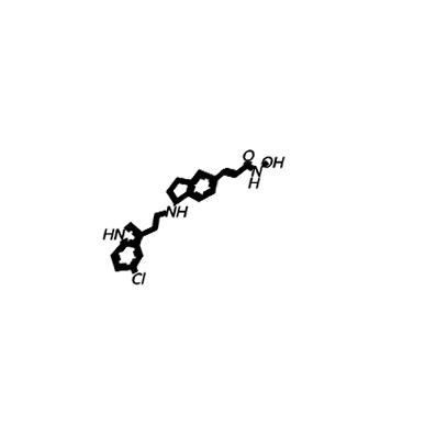 O=C(C=Cc1ccc2c(c1)CC[C@H]2NCCc1c[nH]c2ccc(Cl)cc12)NO